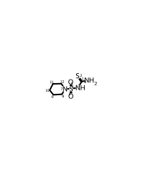 NC(=S)NS(=O)(=O)N1CCCCC1